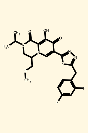 COCC1CN(C(C)C)C(=O)c2c(O)c(=O)c(-c3nnc(Cc4ccc(F)cc4F)s3)cn21